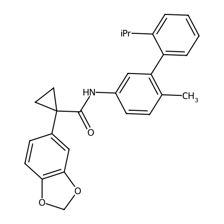 Cc1ccc(NC(=O)C2(c3ccc4c(c3)OCO4)CC2)cc1-c1ccccc1C(C)C